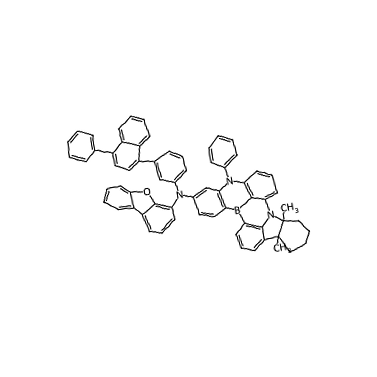 CC12CCCCC1(C)N1c3cccc4c3B(c3ccc(N(c5cccc(-c6ccc(-c7ccccc7)c7ccccc67)c5)c5cccc6c5oc5ccccc56)cc3N4c3ccccc3)c3cccc2c31